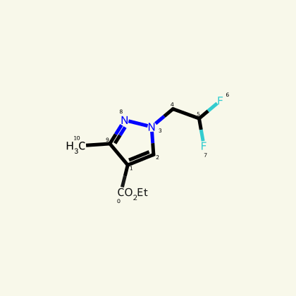 CCOC(=O)c1cn(CC(F)F)nc1C